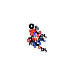 CCOc1nc(N)nc2c1ncn2[C@@H]1O[C@@]2(COP(=O)(NC(C)C(=O)OC(C)C)Oc3ccccc3)CO[C@@H]1[C@@H]2O